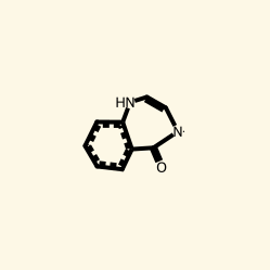 O=C1[N]C=CNc2ccccc21